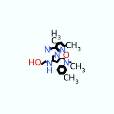 CCN(C(=O)[C@H]1C[C@@H](NCCO)CN1c1nc(C)cc(C)c1C#N)c1cccc(C)c1